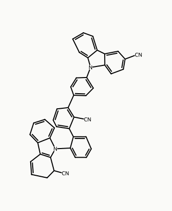 N#Cc1ccc2c(c1)c1ccccc1n2-c1ccc(-c2cccc(-c3ccccc3-n3c4c(c5ccccc53)C=CCC4C#N)c2C#N)cc1